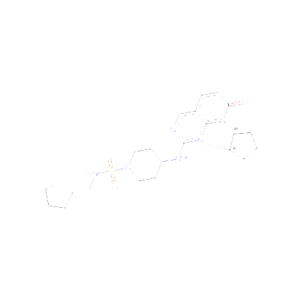 C[C@@]1(O)CCC[C@H]1n1c(=O)ccc2cnc(NC3CCN(S(=O)(=O)NC[C@@H]4CCCO4)CC3)nc21